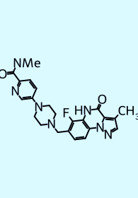 CNC(=O)c1ccc(N2CCN(Cc3ccc4c([nH]c(=O)c5c(C)cnn54)c3F)CC2)cn1